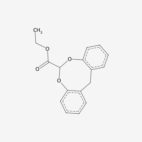 CCOC(=O)C1Oc2ccccc2Cc2ccccc2O1